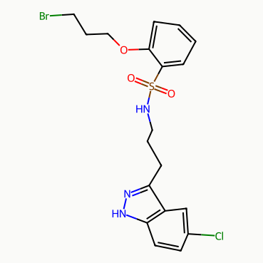 O=S(=O)(NCCCc1n[nH]c2ccc(Cl)cc12)c1ccccc1OCCCBr